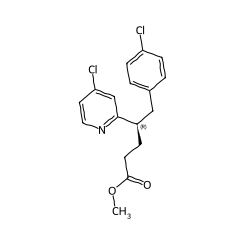 COC(=O)CC[C@H](Cc1ccc(Cl)cc1)c1cc(Cl)ccn1